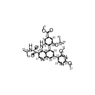 COC(=O)c1cc(Nc2c(S(=O)(=O)NC(C)C)cnc3cc(-c4cnc(OC)nc4OC)ccc23)cc(OC(C)C)c1